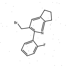 Fc1ccccc1-c1nc2c(cc1CBr)CCC2